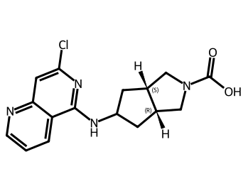 O=C(O)N1C[C@H]2CC(Nc3nc(Cl)cc4ncccc34)C[C@H]2C1